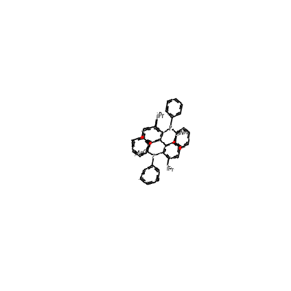 COc1ccc(C(C)C)c(P(c2ccccc2)c2ccccc2)c1-c1c(OC)ccc(C(C)C)c1P(c1ccccc1)c1ccccc1